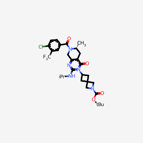 CC(C)Nc1nc2c(c(=O)n1C1CC3(C1)CN(C(=O)OC(C)(C)C)C3)C[C@@H](C)N(C(=O)c1ccc(Cl)c(C(F)(F)F)c1)C2